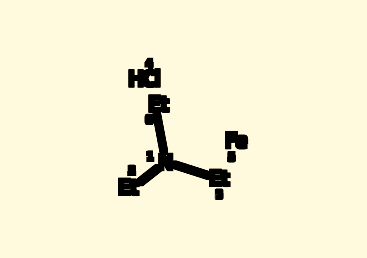 CCN(CC)CC.Cl.[Fe]